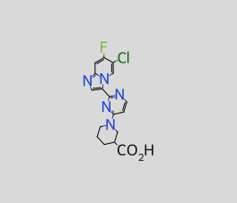 O=C(O)C1CCCN(c2ccnc(-c3cnc4cc(F)c(Cl)cn34)n2)C1